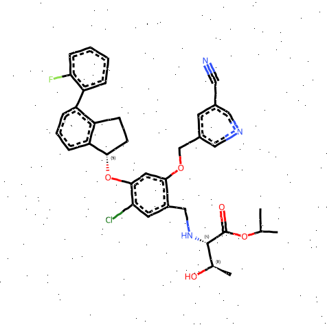 CC(C)OC(=O)[C@@H](NCc1cc(Cl)c(O[C@H]2CCc3c(-c4ccccc4F)cccc32)cc1OCc1cncc(C#N)c1)[C@@H](C)O